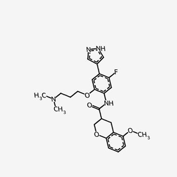 COc1cccc2c1CC(C(=O)Nc1cc(F)c(-c3cn[nH]c3)cc1OCCCN(C)C)CO2